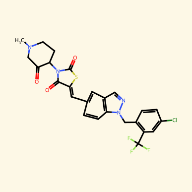 CN1CCC(N2C(=O)SC(=Cc3ccc4c(cnn4Cc4ccc(Cl)cc4C(F)(F)F)c3)C2=O)C(=O)C1